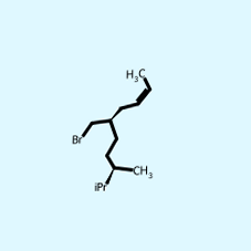 C/C=C\C[C@H](CBr)CC[C@@H](C)C(C)C